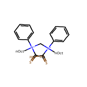 CCCCCCCC[N+](C[N+](CCCCCCCC)(C(=S)S)c1ccccc1)(C(=S)S)c1ccccc1